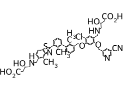 Cc1c(COc2cc(OCc3cncc(C#N)c3)c(CNC[C@@H](O)CC(=O)O)cc2Cl)cccc1-c1cccc(-c2nc3c(C)c(CNC[C@@H](O)CC(=O)O)ccc3s2)c1C